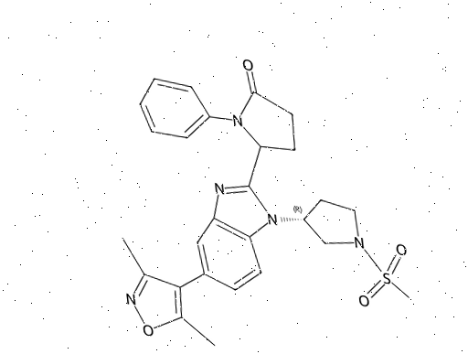 Cc1noc(C)c1-c1ccc2c(c1)nc(C1CCC(=O)N1c1ccccc1)n2[C@@H]1CCN(S(C)(=O)=O)C1